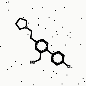 OCc1cc(CCN2CCCC2)ccc1-c1ccc(Cl)cc1